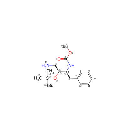 CC(C)(C)OC(=O)N[C@@H](Cc1ccccc1)[C@H](CN)O[Si](C)(C)C(C)(C)C